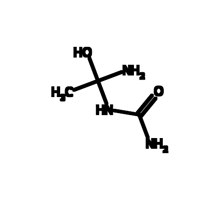 CC(N)(O)NC(N)=O